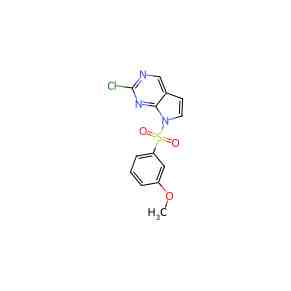 COc1cccc(S(=O)(=O)n2ccc3cnc(Cl)nc32)c1